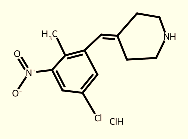 Cc1c(C=C2CCNCC2)cc(Cl)cc1[N+](=O)[O-].Cl